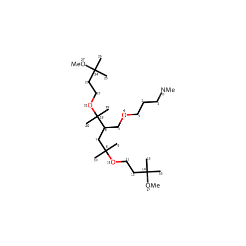 CNCCCOCC(CC(C)(C)OCCC(C)(C)OC)C(C)(C)OCCC(C)(C)OC